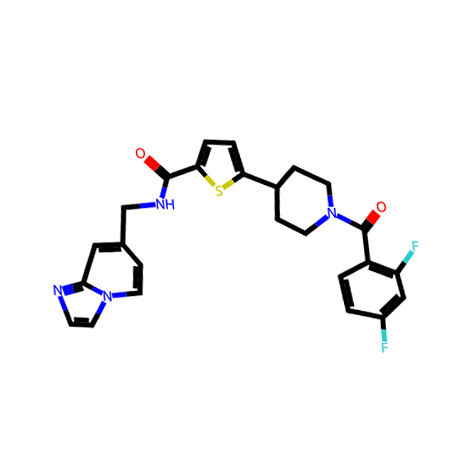 O=C(NCc1ccn2ccnc2c1)c1ccc(C2CCN(C(=O)c3ccc(F)cc3F)CC2)s1